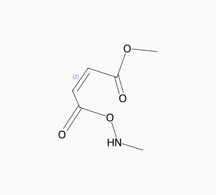 CNOC(=O)/C=C\C(=O)OC